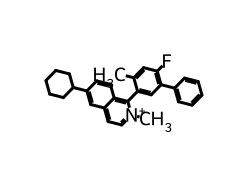 Cc1cc(F)c(-c2ccccc2)cc1-c1c2ccc(C3CCCCC3)cc2cc[n+]1C